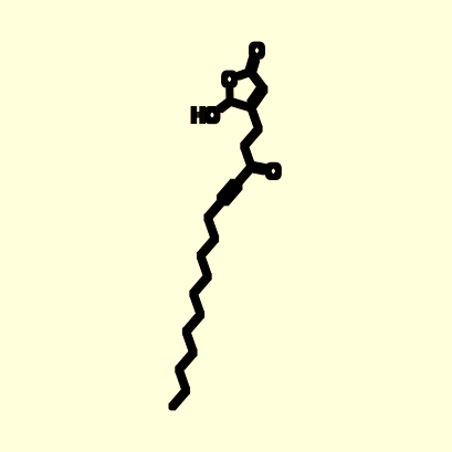 CCCCCCCCCCCC#CC(=O)CCC1=CC(=O)OC1O